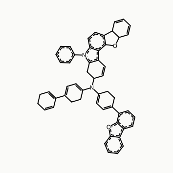 C1=CC2Oc3c(ccc4c3c3c(n4-c4ccccc4)CC(N(C4=CC=C(C5=CCCC=C5)CC4)C4=CC=C(c5cccc6c5oc5ccccc56)CC4)C=C3)C2C=C1